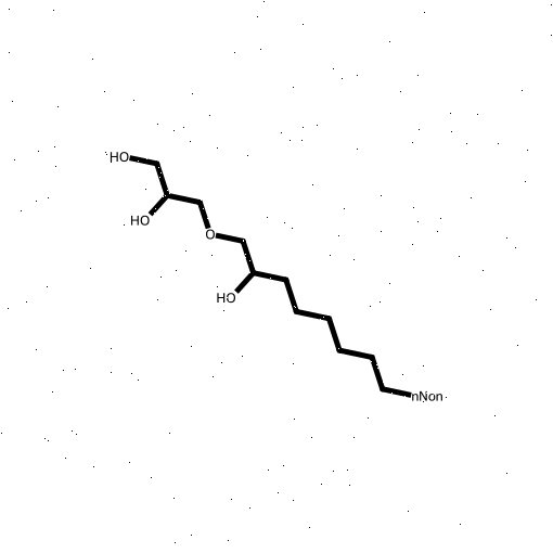 CCCCCCCCCCCCCCCC(O)COCC(O)CO